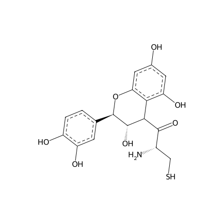 N[C@@H](CS)C(=O)C1c2c(O)cc(O)cc2O[C@H](c2ccc(O)c(O)c2)[C@H]1O